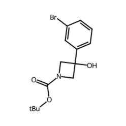 CC(C)(C)OC(=O)N1CC(O)(c2cccc(Br)c2)C1